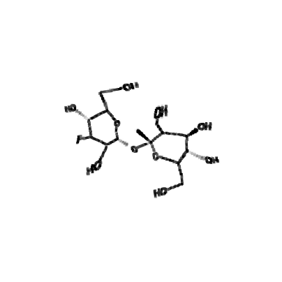 C[C@]1(O[C@H]2OC(CO)[C@@H](O)C(F)C2O)OC(CO)[C@@H](O)[C@H](O)C1O